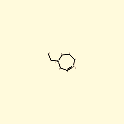 CCN1CC=NCCC1